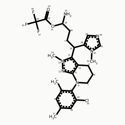 Cc1cc(C)c(N2CCCc3c2nn(C)c3C(CCC(N)OC(=O)C(F)(F)F)c2cncn2C)c(Cl)c1